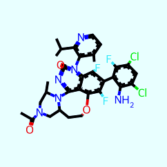 CC(=O)N1CC(C)N2c3nc(=O)n(-c4c(C)ccnc4C(C)C)c4c(F)c(-c5c(N)c(Cl)cc(Cl)c5F)c(F)c(c34)OCCC2C1